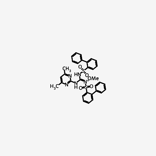 CO[N+](=C(Nc1nc(C)cc(C)n1)NS(=O)(=O)c1ccccc1-c1ccccc1)S(=O)(=O)c1ccccc1-c1ccccc1